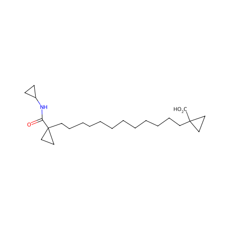 O=C(O)C1(CCCCCCCCCCCCC2(C(=O)NC3CC3)CC2)CC1